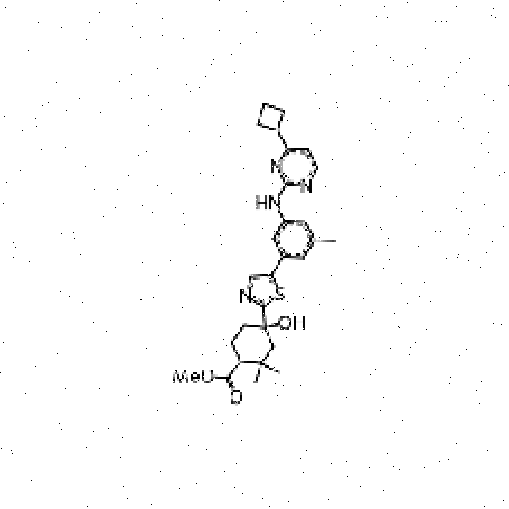 COC(=O)[C@H]1CC[C@](O)(c2ncc(-c3cc(C)cc(Nc4nccc(C5CCC5)n4)c3)s2)CC1(C)C